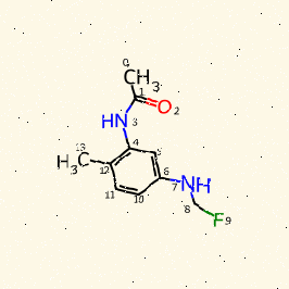 CC(=O)Nc1cc(NCF)ccc1C